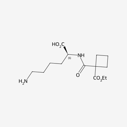 CCOC(=O)C1(C(=O)N[C@@H](CCCCN)C(=O)O)CCC1